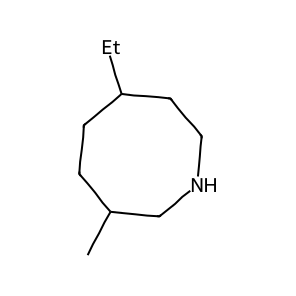 CCC1CCNCC(C)CC1